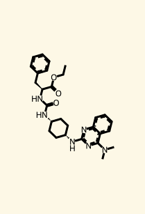 CCOC(=O)[C@H](Cc1ccccc1)NC(=O)N[C@H]1CC[C@@H](Nc2nc(N(C)C)c3ccccc3n2)CC1